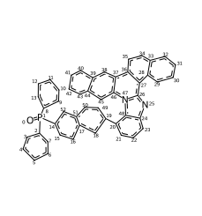 O=P(c1ccccc1)(c1ccccc1)c1ccc2cc(-c3cccc4nc5c6c7ccccc7ccc6c6cc7ccccc7cc6n5c34)ccc2c1